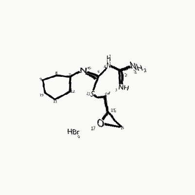 Br.N=C(N)NC(=NC1CCCCC1)SCC1CO1